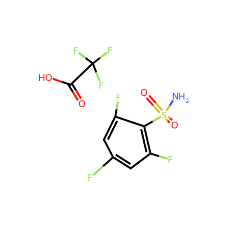 NS(=O)(=O)c1c(F)cc(F)cc1F.O=C(O)C(F)(F)F